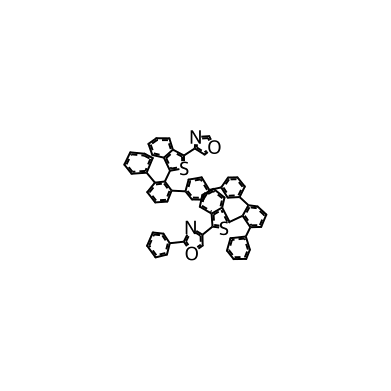 c1ccc(-c2nc(-c3sc(-c4c(-c5ccccc5)cccc4-c4cccc(-c5ccc(-c6cccc(-c7ccccc7)c6-c6sc(-c7cocn7)c7ccccc67)cc5)c4)c4ccccc34)co2)cc1